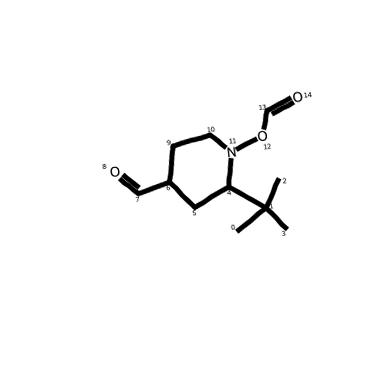 CC(C)(C)C1CC(C=O)CCN1OC=O